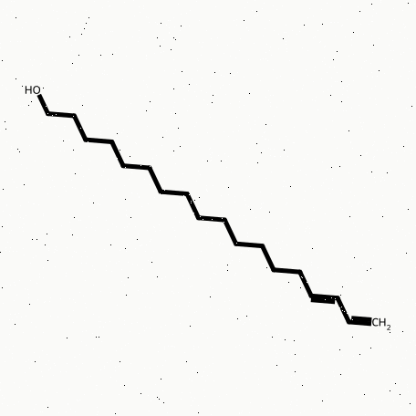 C=CC=CCCCCCCCCCCCCCCO